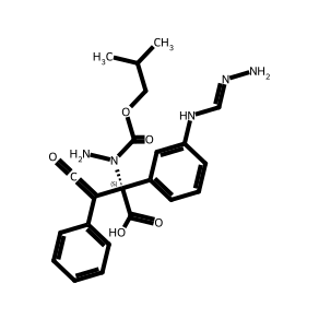 CC(C)COC(=O)N(N)[C@](C(=O)O)(C(=C=O)c1ccccc1)c1cccc(NC=NN)c1